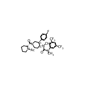 CC(=O)N1CCCC[C@@H]1C(=O)N1CC[C@@H](N(C)C(=O)N(C)c2cc(C(F)(F)F)cc(C(F)(F)F)c2)[C@H](c2ccc(F)cc2)C1